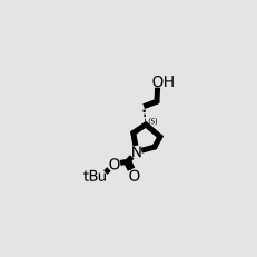 CC(C)(C)OC(=O)N1CC[C@@H](CCO)C1